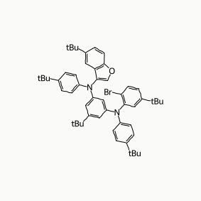 CC(C)(C)c1ccc(N(c2cc(N(c3ccc(C(C)(C)C)cc3)c3coc4ccc(C(C)(C)C)cc34)cc(C(C)(C)C)c2)c2cc(C(C)(C)C)ccc2Br)cc1